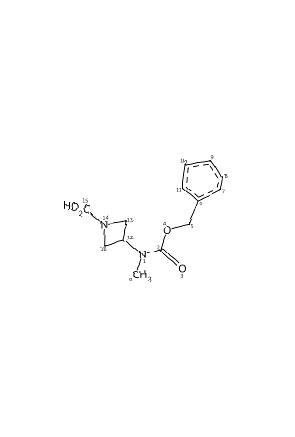 CN(C(=O)OCc1ccccc1)C1CN(C(=O)O)C1